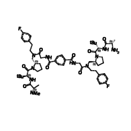 CN[C@@H](C)C(=O)N[C@H](C(=O)N1CCC[C@H]1CN(CCc1ccc(F)cc1)C(=O)CNC(=O)c1ccc(C(=O)NCC(=O)N(CCc2ccc(F)cc2)C[C@@H]2CCCN2C(=O)[C@@H](NC(=O)[C@H](C)N)C(C)(C)C)cc1)C(C)(C)C